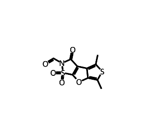 Cc1sc(C)c2c3c(oc12)S(=O)(=O)N(C=O)C3=O